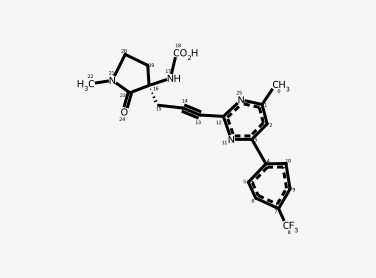 Cc1cc(-c2ccc(C(F)(F)F)cc2)nc(C#CC[C@@]2(NC(=O)O)CCN(C)C2=O)n1